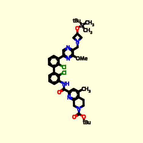 COc1nc(-c2cccc(-c3cccc(NC(=O)c4cc(C)c5c(n4)CN(C(=O)OC(C)(C)C)CC5)c3Cl)c2Cl)cnc1CN1CC(O[Si](C)(C)C(C)(C)C)C1